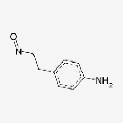 Nc1ccc(CCN=O)cc1